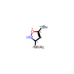 CC(=O)NC1C=C(C(C)(C)C)ON1